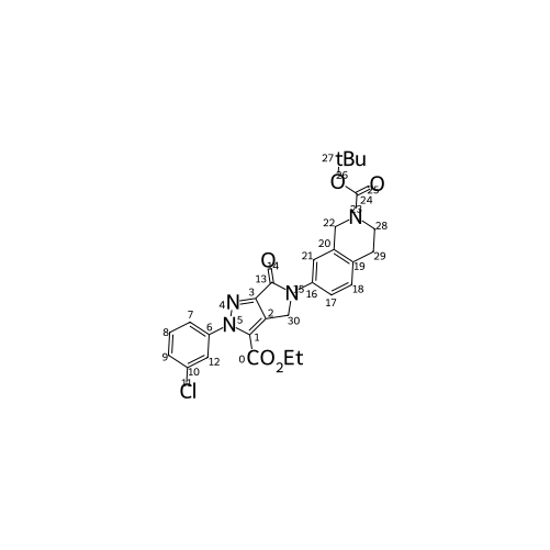 CCOC(=O)c1c2c(nn1-c1cccc(Cl)c1)C(=O)N(c1ccc3c(c1)CN(C(=O)OC(C)(C)C)CC3)C2